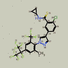 Cc1cc(C(F)(C(F)(F)F)C(F)(F)F)cc(C(F)(F)F)c1-n1cc(-c2ccc(Cl)c(C(=S)NC3CC3)c2)cn1